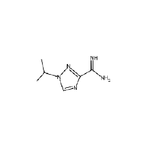 CC(C)n1cnc(C(=N)N)n1